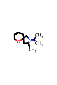 CC(C)N1CC2(CC=CCO2)CC1C